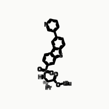 CC(C)[C@H](NS(=O)(=O)c1ccc2c(c1)sc1ccc(-c3cccnc3)cc12)C(=O)OC(C)(C)C